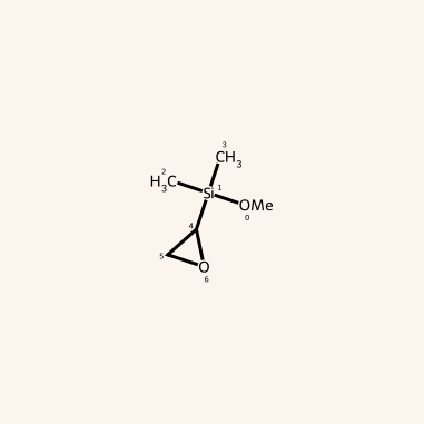 CO[Si](C)(C)C1CO1